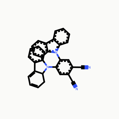 N#Cc1cc(N2c3ccccc3C3=CC=CCC32)c(-n2c3ccccc3c3ccccc32)cc1C#N